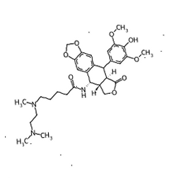 COc1cc(C2c3cc4c(cc3[C@@H](NC(=O)CCCCN(C)CCN(C)C)[C@H]3COC(=O)[C@H]23)OCO4)cc(OC)c1O